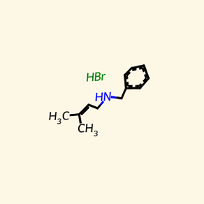 Br.CC(C)=CCNCc1ccccc1